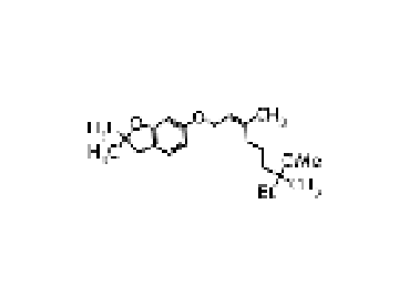 CCC(C)(CCCC(C)=CCOc1ccc2c(c1)OC(C)(C)C2)OC